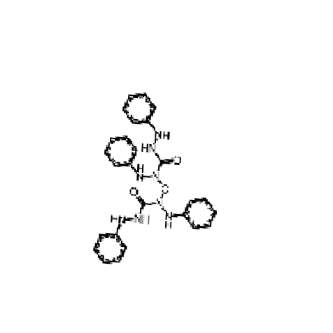 O=C(NNc1ccccc1)N(Nc1ccccc1)ON(Nc1ccccc1)C(=O)NNc1ccccc1